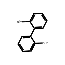 CCCc1ccccc1-c1ccccc1CCC